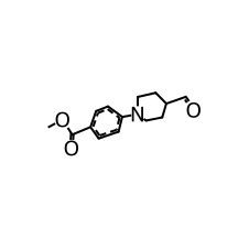 COC(=O)c1ccc(N2CCC(C=O)CC2)cc1